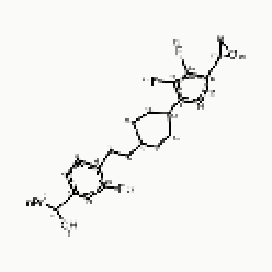 CCCC(O)c1ccc(CCC2CCC(c3ccc(C4CO4)c(F)c3F)CC2)c(F)c1